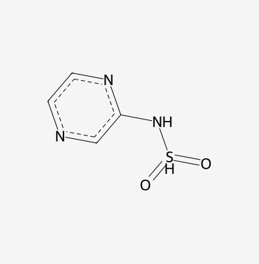 O=[SH](=O)Nc1cnccn1